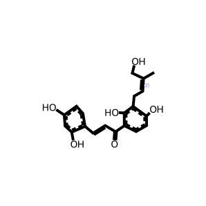 C/C(=C/Cc1c(O)ccc(C(=O)C=Cc2ccc(O)cc2O)c1O)CO